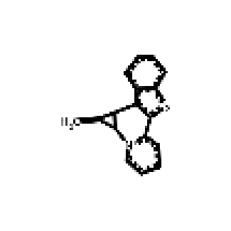 C=C1C2c3c(sc4ccccc34)-c3cccc[n+]3C12